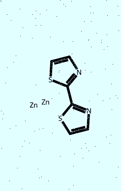 [Zn].[Zn].c1csc(-c2nccs2)n1